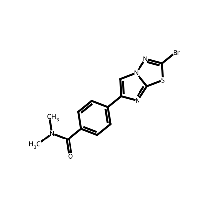 CN(C)C(=O)c1ccc(-c2cn3nc(Br)sc3n2)cc1